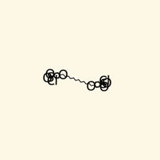 O=S(=O)(Cl)c1ccc(OCCCCCCCCCCOc2ccc(S(=O)(=O)Cl)cc2)cc1